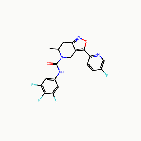 CC1Cc2noc(-c3ccc(F)cn3)c2CN1C(=O)Nc1cc(F)c(F)c(F)c1